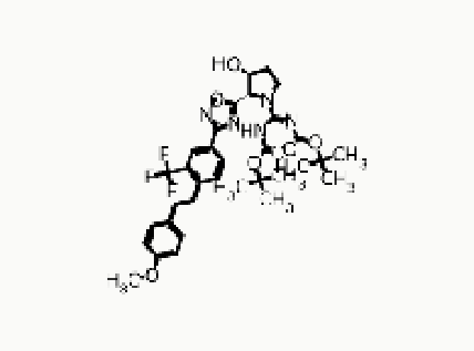 COc1ccc(CCc2ccc(-c3noc([C@@H]4[C@@H](O)CCN4/C(=N/C(=O)OC(C)(C)C)NC(=O)OC(C)(C)C)n3)cc2C(F)(F)F)cc1